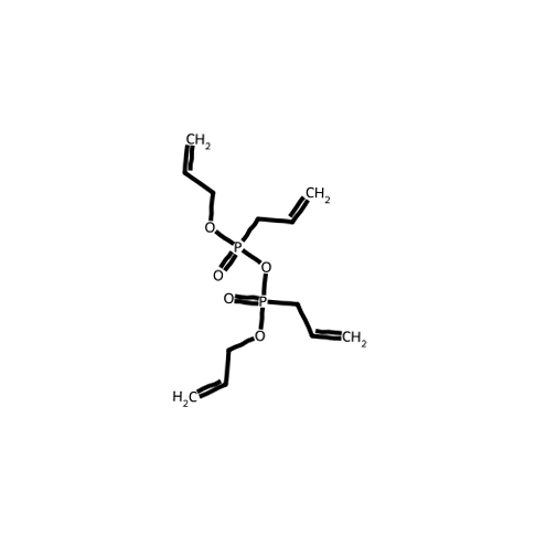 C=CCOP(=O)(CC=C)OP(=O)(CC=C)OCC=C